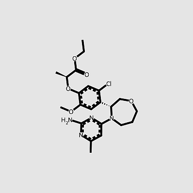 CCOC(=O)[C@H](C)Oc1cc(Cl)c([C@@H]2COCCCN2c2cc(C)nc(N)n2)cc1OC